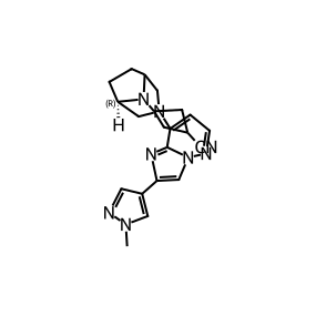 Cn1cc(-c2cn3nccc(N4CC5CC[C@H](C4)N5C4CC(C#N)C4)c3n2)cn1